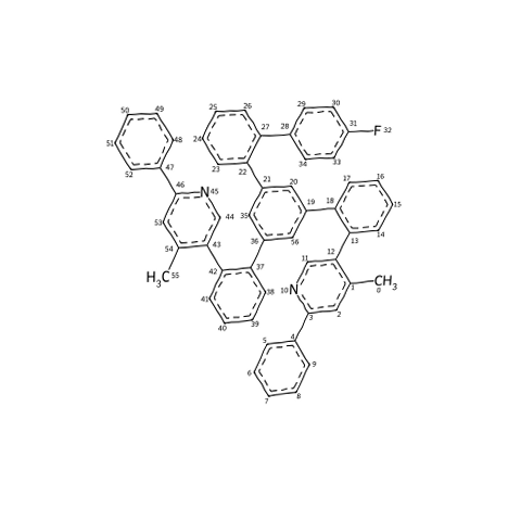 Cc1cc(-c2ccccc2)ncc1-c1ccccc1-c1cc(-c2ccccc2-c2ccc(F)cc2)cc(-c2ccccc2-c2cnc(-c3ccccc3)cc2C)c1